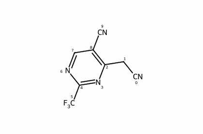 N#CCc1nc(C(F)(F)F)ncc1C#N